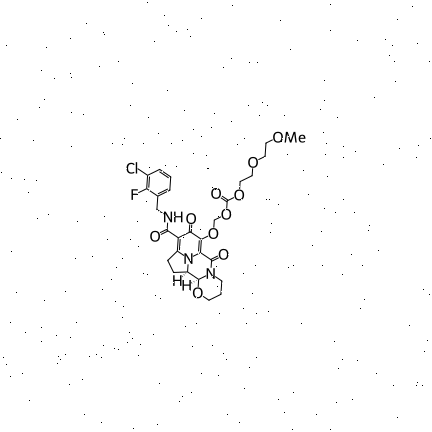 COCCOCCOC(=O)OCOc1c2n3c(c(C(=O)NCc4cccc(Cl)c4F)c1=O)CC[C@@H]3[C@@H]1OCCCN1C2=O